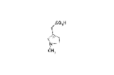 CN1CC[C@H](CS(=O)(=O)O)C1